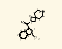 Cn1nc(C(=O)N2CC3(CCNCC3)C2)c2ccccc21